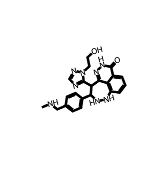 CNCc1ccc(C2NNc3cccc4c(=O)[nH]nc(c34)C2c2ncnn2CCO)cc1